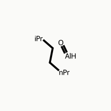 [CH2]CCCCC(C)C.[O]=[AlH]